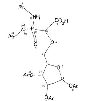 CC(=O)OC1OC(COC(C(=O)O)P(=O)(NC(C)C)NC(C)C)C(OC(C)=O)C1OC(C)=O